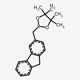 CC1(C)OB(Cc2ccc3c(c2)-c2ccccc2C3)OC1(C)C